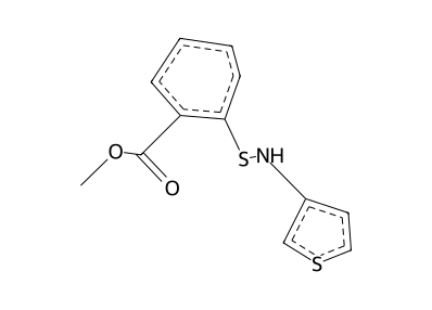 COC(=O)c1ccccc1SNc1ccsc1